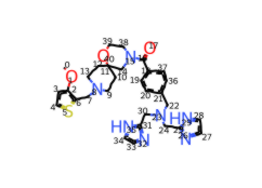 COc1ccsc1CN1CCC2(CC1)CN(C(=O)c1ccc(CN(Cc3ncc[nH]3)Cc3ncc[nH]3)cc1)CCO2